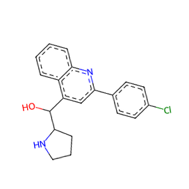 OC(c1cc(-c2ccc(Cl)cc2)nc2ccccc12)C1CCCN1